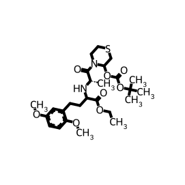 CCOC(=O)C(CCc1cc(OC)ccc1OC)N[C@@H](C)C(=O)N1CCSCC1OC(=O)OC(C)(C)C